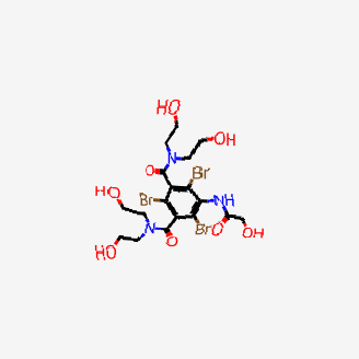 O=C(CO)Nc1c(Br)c(C(=O)N(CCO)CCO)c(Br)c(C(=O)N(CCO)CCO)c1Br